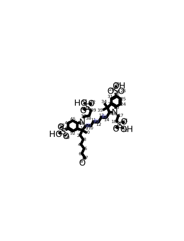 CC1(CCCCCC=O)/C(=C/C=C/C=C/C2N(CCS(=O)(=O)O)c3ccc(S(=O)(=O)O)cc3C2(C)C)N(CCCS(=O)(=O)O)C2CCC(S(=O)(=O)O)=CC21